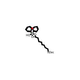 CCCCCCCCCCCCCCCCCCOP(O)(O)(c1ccccc1)c1ccccc1